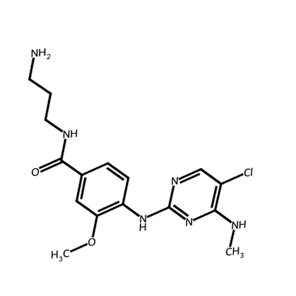 CNc1nc(Nc2ccc(C(=O)NCCCN)cc2OC)ncc1Cl